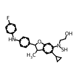 CC1c2cc(C3CC3)c(N(S)CCO)cc2OC1c1ccc(Nc2ccc(F)cc2)cc1